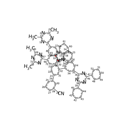 Cc1nc(C)nc(-c2ccc3c(c2)c2ccccc2n3-c2ccc(-c3cccc(C#N)c3)cc2-c2cc(-c3nc(-c4ccccc4)nc(-c4ccccc4)n3)ccc2-n2c3ccccc3c3cc(-c4nc(C)nc(C)n4)ccc32)n1